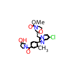 COC(=O)N1CCO[C@@H](Cc2c(-c3ccc(C(=O)N4CC[C@@H](O)C4)cc3C)nc3cc(Cl)ccn23)C1